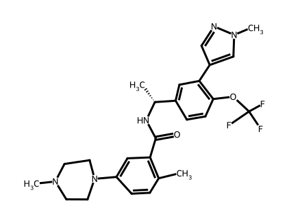 Cc1ccc(N2CCN(C)CC2)cc1C(=O)N[C@H](C)c1ccc(OC(F)(F)F)c(-c2cnn(C)c2)c1